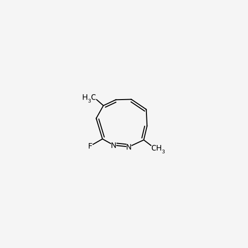 Cc1ccccc(C)nnc(F)c1